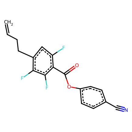 C=CCCc1cc(F)c(C(=O)Oc2ccc(C#N)cc2)c(F)c1F